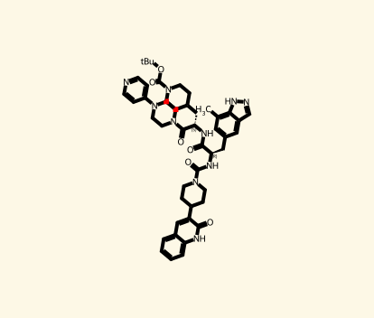 Cc1cc(C[C@@H](NC(=O)N2CCC(c3cc4ccccc4[nH]c3=O)CC2)C(=O)N[C@@H](CC2CCN(C(=O)OC(C)(C)C)CC2)C(=O)N2CCN(c3ccncc3)CC2)cc2cn[nH]c12